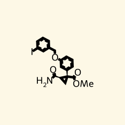 COC(=O)[C@]1(c2cccc(OCc3cccc(I)c3)c2)C[C@H]1C(N)=O